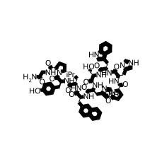 CC(C)C[C@H](NC(=O)[C@@H](Cc1ccc2ccccc2c1)NC(=O)[C@H](Cc1c[nH]cn1)NC(=O)[C@H](CO)NC(=O)[C@H](Cc1c[nH]c2ccccc12)NC(=O)[C@H](Cc1c[nH]cn1)NC(=O)[C@@H]1CCC(=O)N1)C(=O)N[C@@H](Cc1ccc(O)cc1)C(=O)N1CCC[C@H]1C(=O)NCC(N)=O